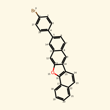 Brc1ccc(-c2ccc3cc4c(cc3c2)oc2c3ccccc3ccc42)cc1